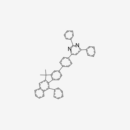 CC1(C)c2cc(-c3ccc(-c4cc(-c5ccccc5)nc(-c5ccccc5)n4)cc3)ccc2-c2c1cc1ccccc1c2-c1ccccc1